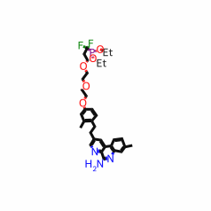 CCOP(OCC)C(F)(F)CCOCCOCCOc1ccc(CCc2cnc3c(N)nc4cc(C)ccc4c3c2)c(C)c1